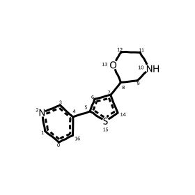 c1cncc(-c2cc(C3CNCCO3)cs2)c1